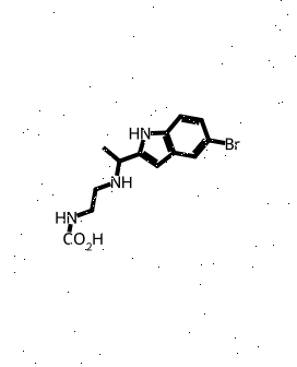 CC(NCCNC(=O)O)c1cc2cc(Br)ccc2[nH]1